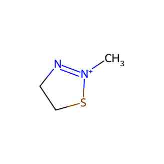 C[N+]1=NCCS1